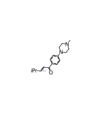 CC(C)/C=C/C(=O)c1ccc(N2CCN(C)CC2)cc1